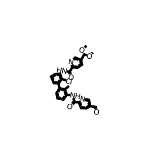 COC(OC)c1ccc(C(=O)Nc2cccc(-c3cccc(NC(=O)c4ccc(C=O)cn4)c3C)c2Cl)nc1